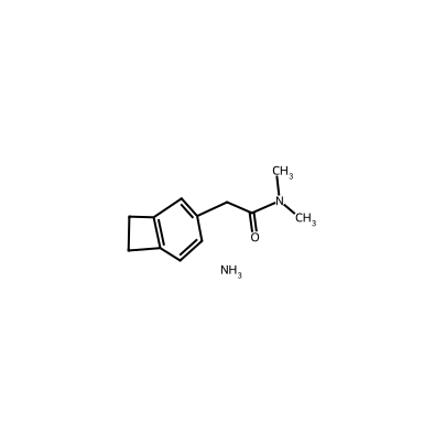 CN(C)C(=O)Cc1ccc2c(c1)CC2.N